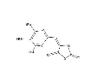 CC(C)(C)c1nc(C=C2NC(=O)SC2=O)nc(C(C)(C)C)c1O